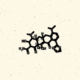 CN(C)c1ccc(-c2ncco2)c2c1C[C@H]1C[C@H]3[C@H](N(C)C)C(O)C(C(N)=O)C(=O)[C@@]3(O)C(O)=C1C2=O